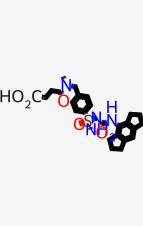 CN(Cc1ccc(S(N)(=O)=NC(=O)Nc2c3c(cc4c2CCC4)CCC3)cc1)C(=O)CCC(=O)O